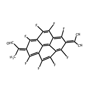 CC(C=O)=c1c(F)c2c(F)c(F)c3c(F)c(=C(C#N)C#N)c(F)c4c(F)c(F)c(c1F)c2c34